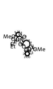 CCOCC(=O)Oc1c(OC)ccnc1C(=O)N[C@H]1CCC[C@H](CCOC)[C@@H](Oc2ccccc2)[C@H](C)OC1=O